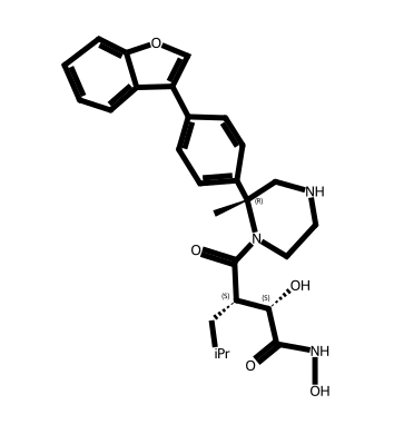 CC(C)C[C@H](C(=O)N1CCNC[C@@]1(C)c1ccc(-c2coc3ccccc23)cc1)[C@H](O)C(=O)NO